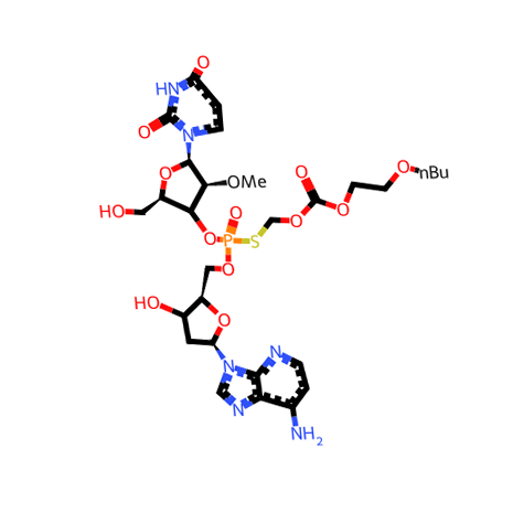 CCCCOCCOC(=O)OCSP(=O)(OC[C@H]1O[C@@H](n2cnc3c(N)ccnc32)CC1O)OC1[C@@H](CO)O[C@@H](n2ccc(=O)[nH]c2=O)[C@H]1OC